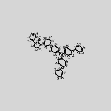 c1ccc(-c2ccc(N(c3ccc(-c4ccccc4)cc3)c3ccc(-c4cccc(-c5cccc6c5sc5cnccc56)c4)cc3)cc2)cc1